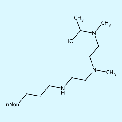 CCCCCCCCCCCCNCCN(C)CCN(C)C(C)O